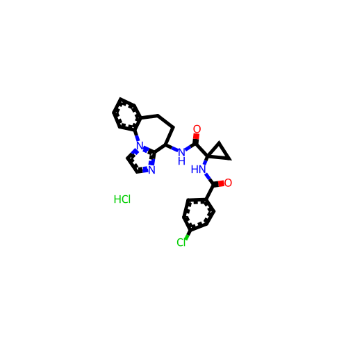 Cl.O=C(NC1(C(=O)NC2CCc3ccccc3-n3ccnc32)CC1)c1ccc(Cl)cc1